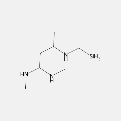 CNC(CC(C)NC[SiH3])NC